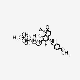 COc1ccc(CNc2c(F)c(N3CCC(CNC(=O)OC(C)(C)C)C3)c(C)c3c2ccc(=O)n3C2CC2)cc1